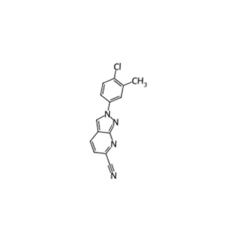 Cc1cc(-n2cc3ccc(C#N)nc3n2)ccc1Cl